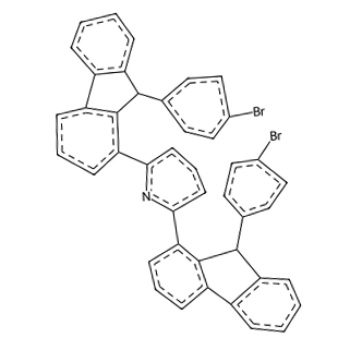 Brc1ccc(C2c3ccccc3-c3cccc(-c4cccc(-c5cccc6c5C(c5ccc(Br)cc5)c5ccccc5-6)n4)c32)cc1